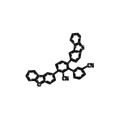 N#Cc1cccc(-c2c(-c3ccc4sc5ccccc5c4c3)ccc(-c3ccc4oc5ccccc5c4c3)c2C#N)c1